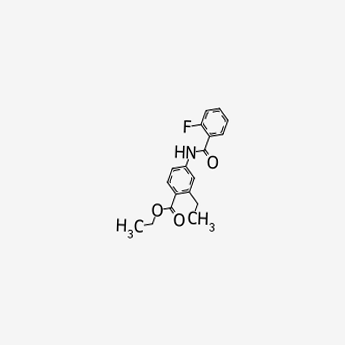 CCOC(=O)c1ccc(NC(=O)c2ccccc2F)cc1CC